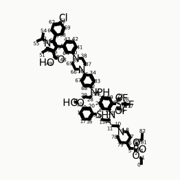 CCOP(=O)(CC1CCN(CC[C@H](CSc2ccccc2)Nc2ccc(PN(CCOO)c3ccc(N4CCN(c5cccc(-c6c(C(=O)O)c(C)n(C(C)C)c6-c6ccc(Cl)cc6)c5)CC4)cc3)cc2S(=O)(=O)C(F)(F)F)CC1)OCC